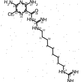 N=C(N)NCCCCCCCCCNC(=N)NC(=O)c1nc(Cl)c(N)nc1N